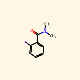 CN(C)C(=O)c1ccccc1I